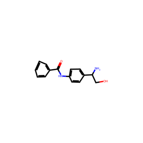 NC(CO)c1ccc(NC(=O)c2ccccc2)cc1